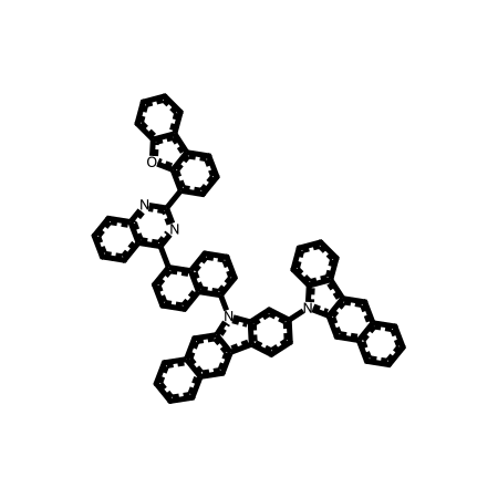 c1ccc2cc3c(cc2c1)c1ccccc1n3-c1ccc2c3cc4ccccc4cc3n(-c3cccc4c(-c5nc(-c6cccc7c6oc6ccccc67)nc6ccccc56)cccc34)c2c1